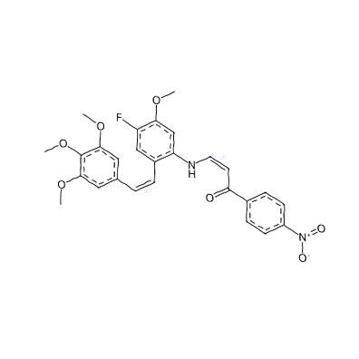 COc1cc(N/C=C\C(=O)c2ccc([N+](=O)[O-])cc2)c(/C=C\c2cc(OC)c(OC)c(OC)c2)cc1F